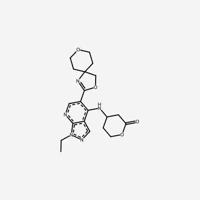 CCn1ncc2c(NC3CCOC(=O)C3)c(C3=NC4(CCOCC4)CO3)cnc21